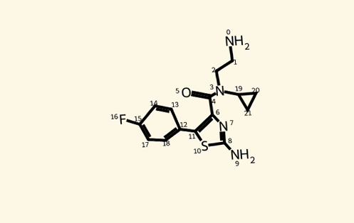 NCCN(C(=O)c1nc(N)sc1-c1ccc(F)cc1)C1CC1